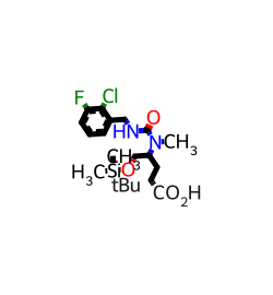 CN(C(=O)NCc1cccc(F)c1Cl)C(CCC(=O)O)CO[Si](C)(C)C(C)(C)C